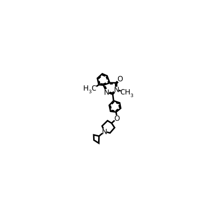 Cc1cccc2c(=O)n(C)c(-c3ccc(OC4CCN(C5CCC5)CC4)cc3)nc12